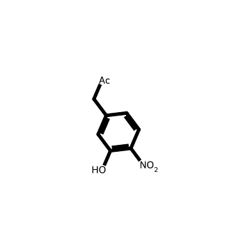 CC(=O)Cc1ccc([N+](=O)[O-])c(O)c1